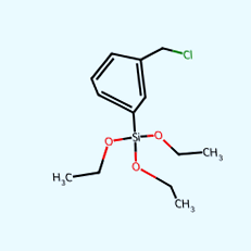 CCO[Si](OCC)(OCC)c1cccc(CCl)c1